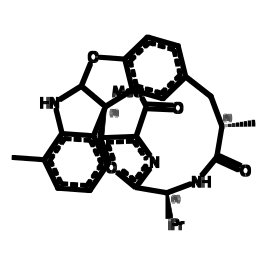 COC(=O)c1nc2oc1[C@]13c4cc(ccc4OC1Nc1c(C)cccc13)C[C@H](C)C(=O)N[C@H]2C(C)C